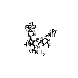 CCCNCc1cc(F)cc(-c2cc(C(N)=O)c3[nH]cc(C4CCN(S(=O)(=O)CC)CC4)c3c2)c1